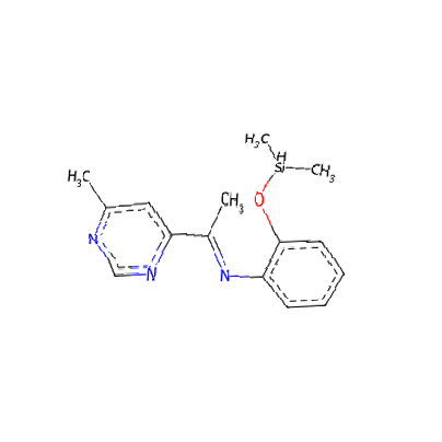 CC(=Nc1ccccc1O[SiH](C)C)c1cc(C)ncn1